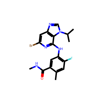 CNC(=O)c1cc(Nc2nc(Br)cc3ncn(C(C)C)c23)c(F)cc1C